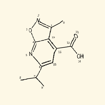 Cc1noc2nc(C(C)C)cc(C(=O)O)c12